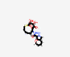 CC1/C=C\CCSC2OC(C(O)C(O)C2O)C1NC(=O)C1NCC2CCCCOC21